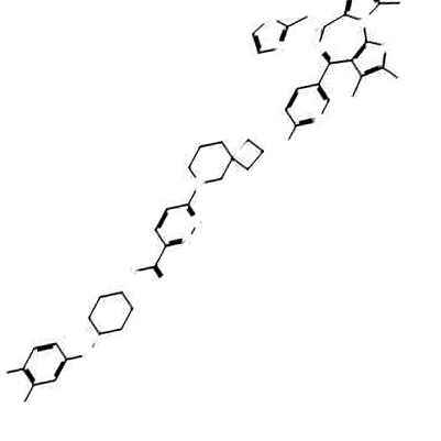 Cc1sc2c(c1C)C(c1ccc(O[C@H]3C[C@@]4(CCCN(c5ccc(C(=O)N[C@H]6CC[C@H](Oc7ccc(C#N)c(Cl)c7)CC6)nn5)C4)C3)nc1)=N[C@H](Cc1ncco1)c1nnc(C)n1-2